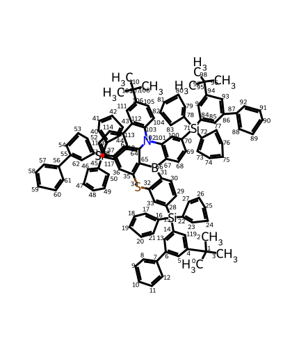 CC(C)(C)c1cc(-c2ccccc2)cc([Si](c2ccccc2)(c2ccccc2)c2ccc3c(c2)Sc2cc([Si](c4ccccc4)(c4ccccc4)c4cccc(-c5ccccc5)c4)cc4c2B3c2ccc([Si](c3ccccc3)(c3ccccc3)c3cc(-c5ccccc5)cc(C(C)(C)C)c3)cc2N4c2ccc(C(C)(C)C)cc2-c2ccccc2)c1